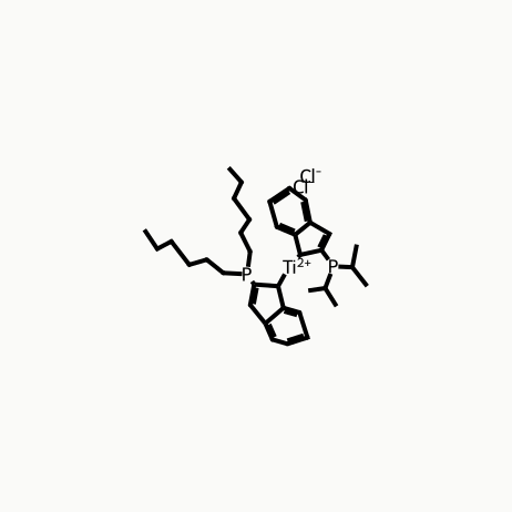 CCCCCCP(CCCCCC)C1=Cc2ccccc2[CH]1[Ti+2][CH]1C(P(C(C)C)C(C)C)=Cc2ccccc21.[Cl-].[Cl-]